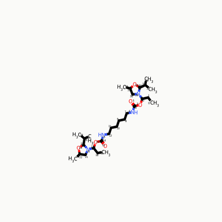 CCC(OC(=O)NCCCCCCNC(=O)OC(CC)N1CC(C)OC1C(C)C)N1CC(C)OC1C(C)C